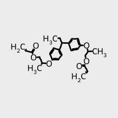 C=CC(=O)OCC(C)Oc1ccc(C(CC)c2ccc(OC(C)COC(=O)C=C)cc2)cc1